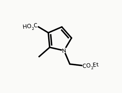 CCOC(=O)Cn1ccc(C(=O)O)c1C